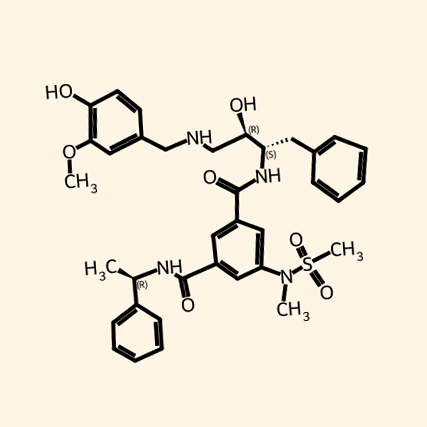 COc1cc(CNC[C@@H](O)[C@H](Cc2ccccc2)NC(=O)c2cc(C(=O)N[C@H](C)c3ccccc3)cc(N(C)S(C)(=O)=O)c2)ccc1O